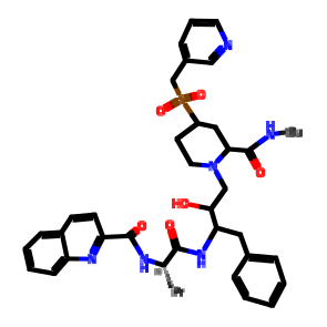 CC(C)[C@H](NC(=O)c1ccc2ccccc2n1)C(=O)NC(Cc1ccccc1)C(O)CN1CCC(S(=O)(=O)Cc2cccnc2)CC1C(=O)NC(C)(C)C